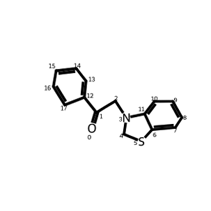 O=C(CN1CSc2ccccc21)c1ccccc1